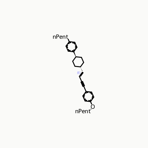 CCCCCOc1ccc(C#C/C=C/[C@H]2CC[C@H](c3ccc(CCCCC)cc3)CC2)cc1